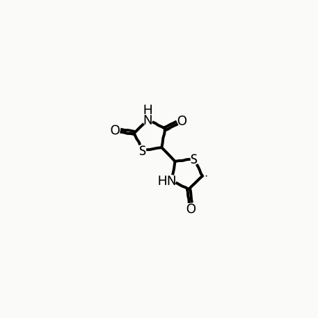 O=C1[CH]SC(C2SC(=O)NC2=O)N1